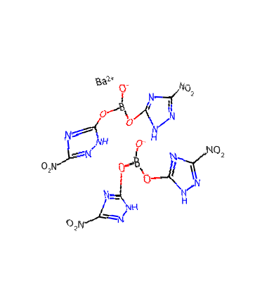 O=[N+]([O-])c1n[nH]c(OB([O-])Oc2nc([N+](=O)[O-])n[nH]2)n1.O=[N+]([O-])c1n[nH]c(OB([O-])Oc2nc([N+](=O)[O-])n[nH]2)n1.[Ba+2]